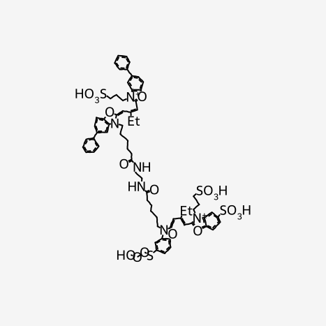 CCC(=Cc1oc2ccc(-c3ccccc3)cc2[n+]1CCCS(=O)(=O)O)C=C1Oc2ccc(-c3ccccc3)cc2N1CCCCCC(=O)NCCNC(=O)CCCCCN1C(=CC(=Cc2oc3ccc(S(=O)(=O)O)cc3[n+]2CCCS(=O)(=O)O)CC)Oc2ccc(SOOO)cc21